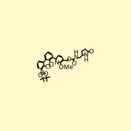 COc1nc(-c2cccc(-c3cccc(B4OC(C)(C)C(C)(C)O4)c3Cl)c2Cl)ccc1COC(=O)NCC1CCC(=O)N1